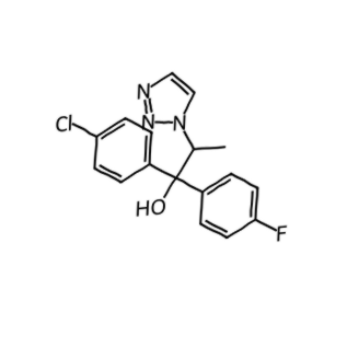 CC(n1ccnn1)C(O)(c1ccc(F)cc1)c1ccc(Cl)cc1